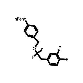 CCCCCc1ccc(COC(F)(F)Cc2ccc(F)c(F)c2)cc1